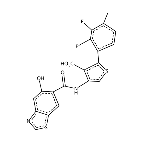 Cc1ccc(-c2scc(NC(=O)c3cc4scnc4cc3O)c2C(=O)O)c(F)c1F